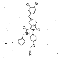 N#CCOc1ccc(-n2c(C(=O)NCc3ccccc3)c3n(c2=O)CCN(Cc2ccc(Br)c(Cl)c2)C3)cc1